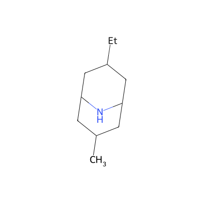 CCC1CC2CC(C)CC(C1)N2